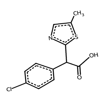 Cc1cnc(C(C(=O)O)c2ccc(Cl)cc2)s1